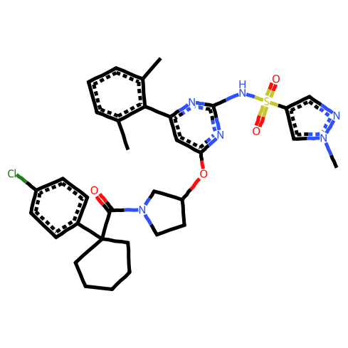 Cc1cccc(C)c1-c1cc(OC2CCN(C(=O)C3(c4ccc(Cl)cc4)CCCCC3)C2)nc(NS(=O)(=O)c2cnn(C)c2)n1